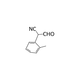 Cc1ccccc1C(C#N)C=O